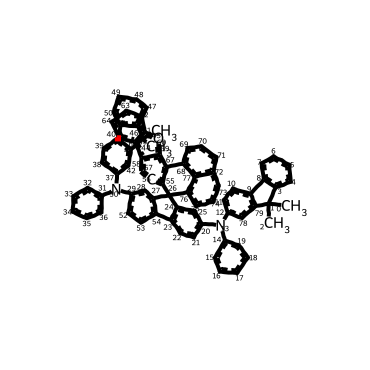 CC1(C)c2ccccc2-c2ccc(N(c3ccccc3)c3ccc4c(c3)C3(c5cc(N(c6ccccc6)c6ccc7c(c6)C(C)(C)c6ccccc6-7)ccc5-4)c4ccc5c(oc6ccccc65)c4-c4cccc5cccc3c45)cc21